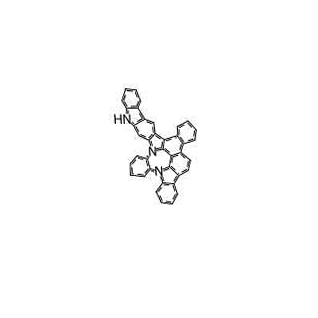 c1ccc2c(c1)[nH]c1cc3c(cc12)c1c2ccccc2c2ccc4c5ccccc5n5c6ccccc6n3c1c2c45